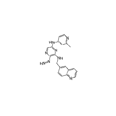 Cc1cc(Nc2cnc(N=N)c(NCc3ccc4ncccc4c3)n2)ccn1